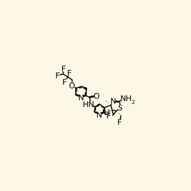 C[C@]1(c2cc(NC(=O)c3ccc(OCC(F)(F)C(F)F)cn3)cnc2F)N=C(N)S[C@@]2(CF)C[C@H]21